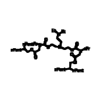 CCCCCC(CCCCC)COC(=O)CN(CCC)C(=O)OCCN(CCOC(=O)N(CCC)CC(=O)OCC(CCCCC)CCCCC)CCN(CC)CC